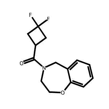 O=C(C1CC(F)(F)C1)N1CCOc2ccccc2C1